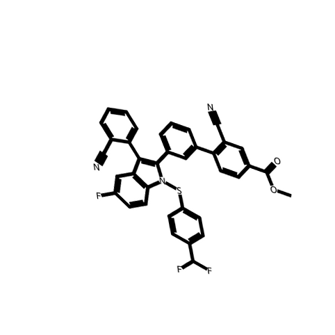 COC(=O)c1ccc(-c2cccc(-c3c(-c4ccccc4C#N)c4cc(F)ccc4n3Sc3ccc(C(F)F)cc3)c2)c(C#N)c1